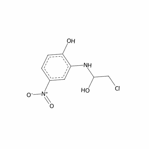 O=[N+]([O-])c1ccc(O)c(NC(O)CCl)c1